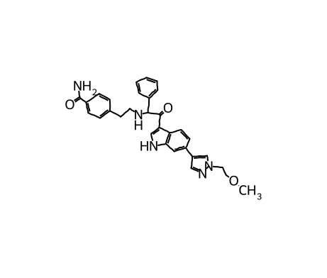 COCCn1cc(-c2ccc3c(C(=O)C(NCCc4ccc(C(N)=O)cc4)c4ccccc4)c[nH]c3c2)cn1